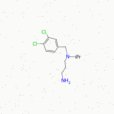 CC(C)N(CCCN)Cc1ccc(Cl)c(Cl)c1